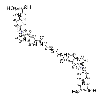 CC1(C)c2cc(C(=O)NCCSSCCNC(=O)c3ccc4c(c3)C(C)(C)C3(/C=C/c5ccc(N(CCO)CCO)cc5)OCCN43)ccc2N2CCOC21/C=C/C1=CCC(N(CCO)CCO)C=C1